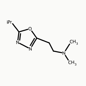 CC(C)c1nnc(CCN(C)C)o1